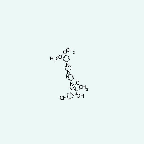 CCC(C(O)c1ccc(Cl)cc1)n1ncn(-c2ccc(N3CCN(c4ccc(OC)c(OC)c4)CC3)nc2)c1=O